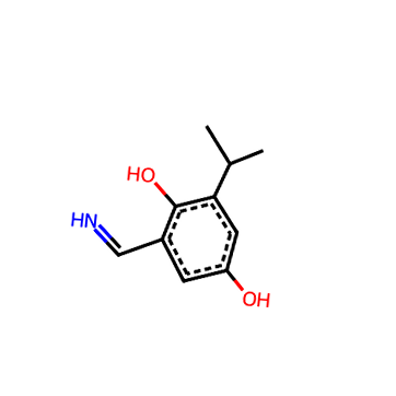 CC(C)c1cc(O)cc(C=N)c1O